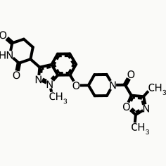 Cc1nc(C)c(C(=O)N2CCC(Oc3cccc4c(C5CCC(=O)NC5=O)nn(C)c34)CC2)o1